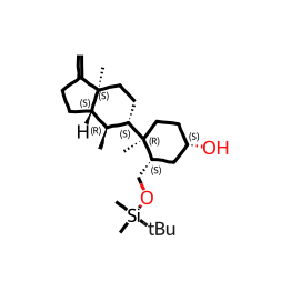 C=C1CC[C@H]2[C@H](C)[C@@H]([C@@]3(C)CC[C@H](O)C[C@@H]3CO[Si](C)(C)C(C)(C)C)CC[C@]12C